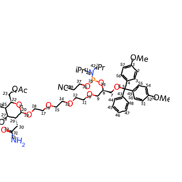 COc1ccc(C(OC[C@@H](COCCOCCOCCO[C@@H]2O[C@H](COC(C)=O)[C@H](OC(C)=O)[C@H](OC(C)=O)[C@H]2CC(N)=O)OP(OCCC#N)N(C(C)C)C(C)C)(c2ccccc2)c2ccc(OC)cc2)cc1